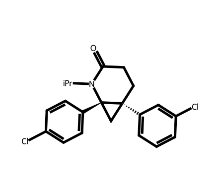 CC(C)N1C(=O)CC[C@@]2(c3cccc(Cl)c3)C[C@]12c1ccc(Cl)cc1